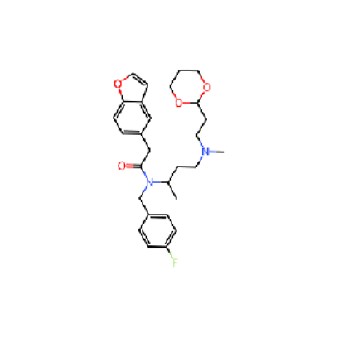 CC(CCN(C)CCC1OCCCO1)N(Cc1ccc(F)cc1)C(=O)Cc1ccc2occc2c1